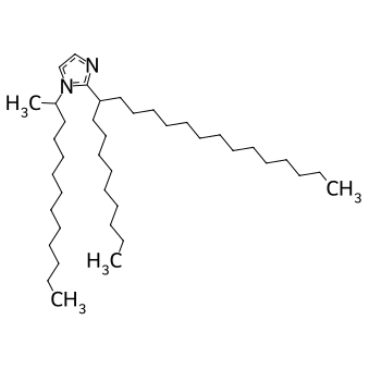 CCCCCCCCCCCCCCC(CCCCCCCCC)c1nccn1C(C)CCCCCCCCCCC